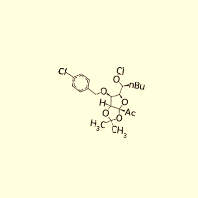 CCCC[C@H](OCl)[C@H]1O[C@]2(C(C)=O)OC(C)(C)O[C@@H]2[C@H]1OCc1ccc(Cl)cc1